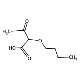 CCCCOC(C(C)=O)C(=O)O